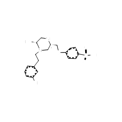 C[C@H]1CN[C@@H](COc2ccc(S(C)(=O)=O)cc2)CN1CCc1cccc(Cl)c1